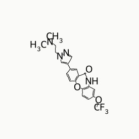 CN(C)CCn1cc(-c2ccc3c(c2)C(=O)Nc2cc(OC(F)(F)F)ccc2O3)cn1